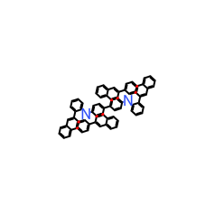 c1ccc(N(c2ccc(-c3ccc(N(c4ccccc4-c4ccc5ccccc5c4)c4ccccc4-c4ccc5ccccc5c4)cc3)cc2)c2ccccc2-c2ccc3ccccc3c2)c(-c2ccc3ccccc3c2)c1